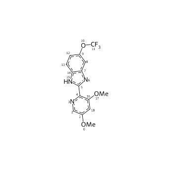 COc1cnc(-c2nc3cc(OC(F)(F)F)ccc3[nH]2)c(OC)c1